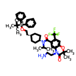 CC(C)N(C(=O)c1cc2c(cc1C(F)(F)F)OC(C)(C)C(=O)N2CCN)[C@H]1CC[C@@H](CCO[Si](c2ccccc2)(c2ccccc2)C(C)(C)C)CC1